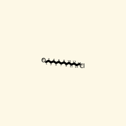 O=CCCCCCCCCCCCCCCl